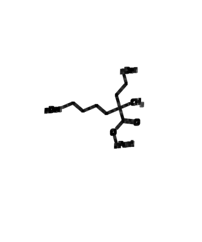 CCCCCCCCCCCCCCC(C)(CCCCCCCCCCCC)C(=O)OCCCCC